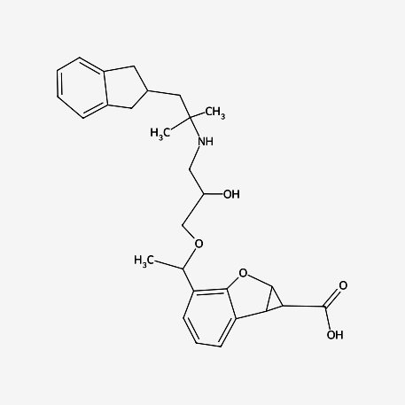 CC(OCC(O)CNC(C)(C)CC1Cc2ccccc2C1)c1cccc2c1OC1C(C(=O)O)C21